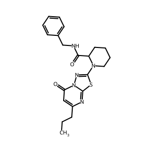 CCCc1cc(=O)n2nc(N3CCCCC3C(=O)NCc3ccccc3)sc2n1